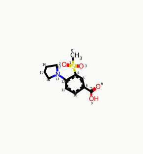 CS(=O)(=O)c1cc(C(=O)O)ccc1N1CCCC1